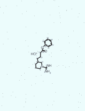 Cl.N=C(N)N1CCCC(CCCC(=O)Oc2ccccc2)C1